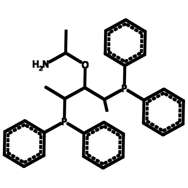 CC(N)OC(C(C)P(c1ccccc1)c1ccccc1)C(C)P(c1ccccc1)c1ccccc1